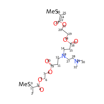 CSC(C)C(=O)OCCOC(=O)CCN(CCC(=O)OCCOC(=O)C(C)SC)CCN(C)C